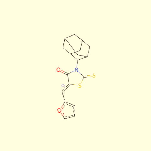 O=C1/C(=C/c2ccco2)SC(=S)N1C1C2CC3CC(C2)CC1C3